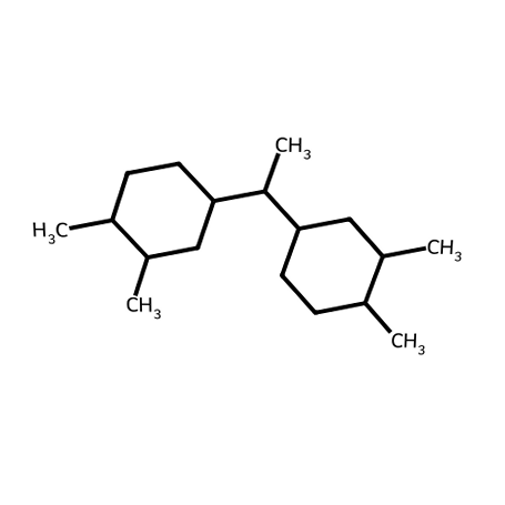 CC1CCC(C(C)C2CCC(C)C(C)C2)CC1C